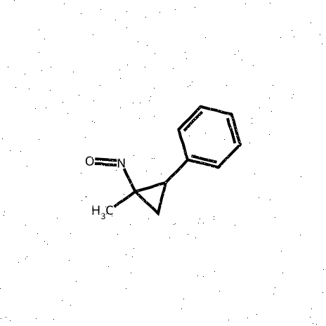 CC1(N=O)CC1c1ccccc1